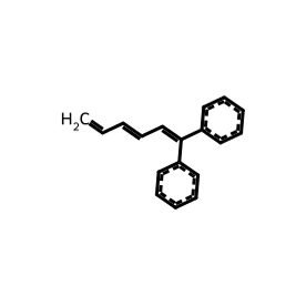 C=C/C=C/C=C(c1ccccc1)c1ccccc1